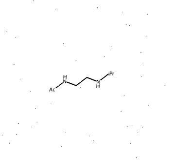 CC(=O)NCCNC(C)C